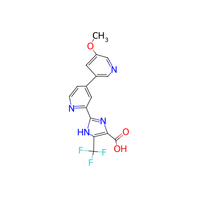 COc1cncc(-c2ccnc(-c3nc(C(=O)O)c(C(F)(F)F)[nH]3)c2)c1